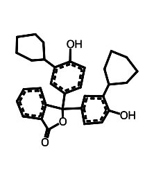 O=C1OC(c2ccc(O)c(C3CCCCC3)c2)(c2ccc(O)c(C3CCCCC3)c2)c2ccccc21